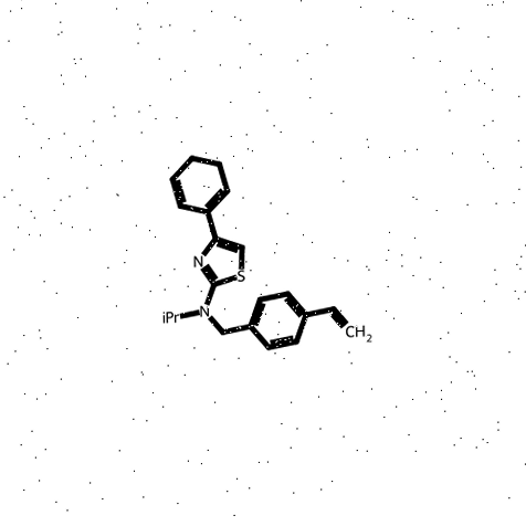 C=Cc1ccc(CN(c2nc(C3=CCCC=C3)cs2)C(C)C)cc1